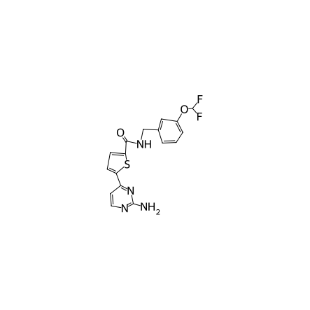 Nc1nccc(-c2ccc(C(=O)NCc3cccc(OC(F)F)c3)s2)n1